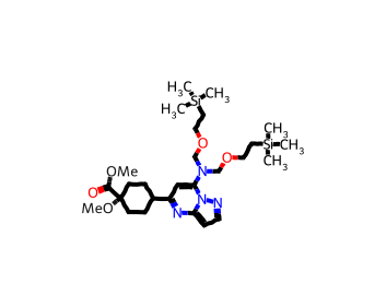 COC(=O)C1(OC)CCC(c2cc(N(COCC[Si](C)(C)C)COCC[Si](C)(C)C)n3nccc3n2)CC1